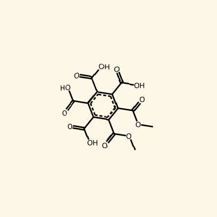 COC(=O)c1c(C(=O)O)c(C(=O)O)c(C(=O)O)c(C(=O)O)c1C(=O)OC